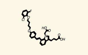 O=C(O)CCCc1cn(CC(=O)O)c2c(C=Cc3ccc(OCCCCOc4c(F)cccc4Cl)cc3)cccc12